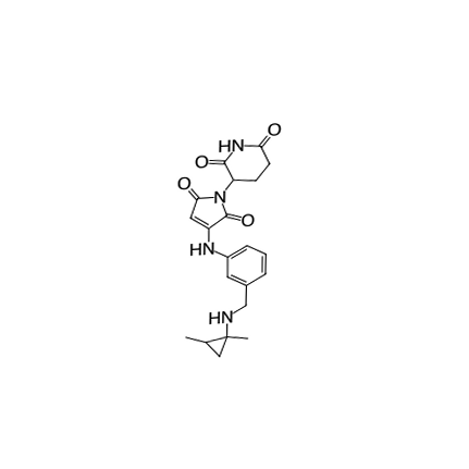 CC1CC1(C)NCc1cccc(NC2=CC(=O)N(C3CCC(=O)NC3=O)C2=O)c1